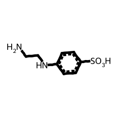 NCCNc1ccc(S(=O)(=O)O)cc1